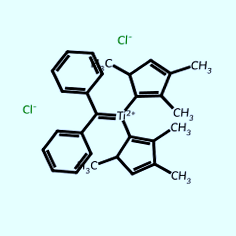 CC1=CC(C)[C]([Ti+2]([C]2=C(C)C(C)=CC2C)=[C](c2ccccc2)c2ccccc2)=C1C.[Cl-].[Cl-]